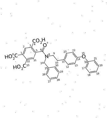 O=C(O)c1cc(C(=O)O)c(C(=O)N(CCc2ccc(Oc3ccccc3)cc2)Cc2ccccc2)cc1C(=O)O